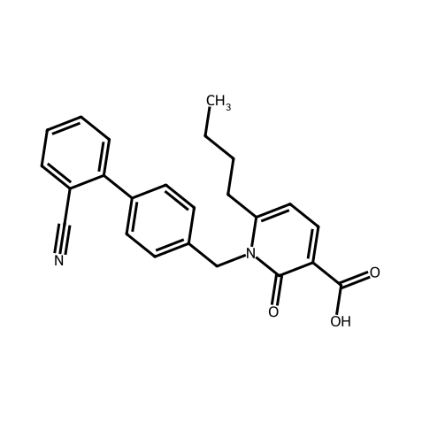 CCCCc1ccc(C(=O)O)c(=O)n1Cc1ccc(-c2ccccc2C#N)cc1